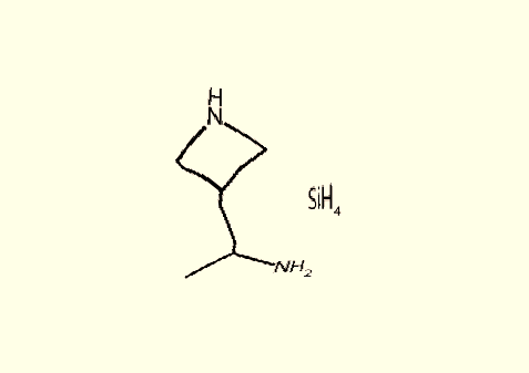 CC(N)C1CNC1.[SiH4]